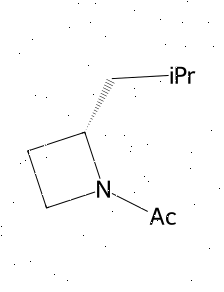 CC(=O)N1CC[C@@H]1CC(C)C